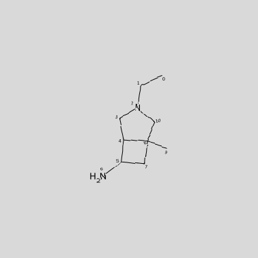 CCN1CC2C(N)CC2(C)C1